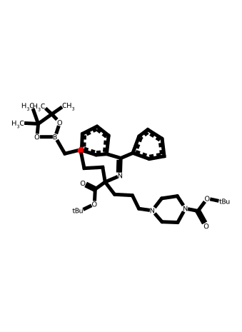 CC(C)(C)OC(=O)N1CCN(CCCC(CCCCB2OC(C)(C)C(C)(C)O2)(N=C(c2ccccc2)c2ccccc2)C(=O)OC(C)(C)C)CC1